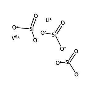 O=[Si]([O-])[O-].O=[Si]([O-])[O-].O=[Si]([O-])[O-].[Li+].[V+5]